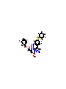 O=c1cc(COCc2ccccc2)[nH]c2c(-c3ccc(Sc4ccccc4)cc3)cnn12